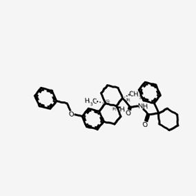 C[C@@]1(C(=O)NC(=O)C2(c3ccccc3)CCCCC2)CCC[C@]2(C)c3cc(OCc4ccccc4)ccc3CC[C@@H]12